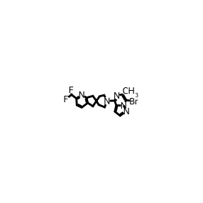 Cc1nc(N2CCC3(CC2)Cc2ccc(C(F)F)nc2C3)c2ccnn2c1Br